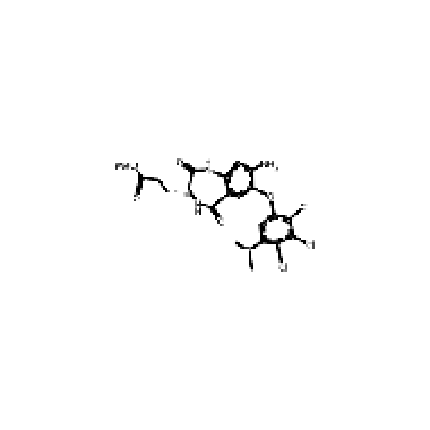 COC(=O)CC[C@H]1NC(=O)c2cc(Oc3cc(N(C)C)c(Cl)c(Cl)c3Cl)c(N)cc2NC1=O